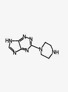 c1nc2nc(N3CCNCC3)nnc2[nH]1